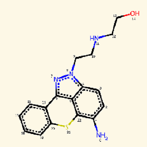 Nc1ccc2c3c(nn2CCNCCO)-c2ccccc2Sc13